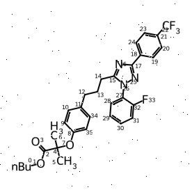 CCCCOC(=O)C(C)(C)Oc1ccc(CCCc2nc(-c3ccc(C(F)(F)F)cc3)nn2-c2ccccc2F)cc1